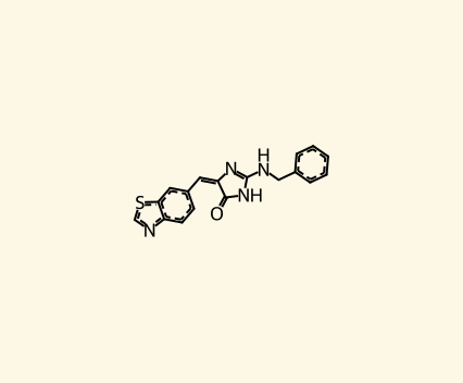 O=C1NC(NCc2ccccc2)=NC1=Cc1ccc2ncsc2c1